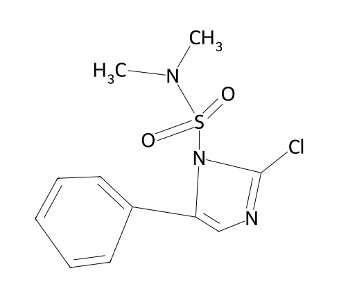 CN(C)S(=O)(=O)n1c(-c2ccccc2)cnc1Cl